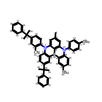 Cc1cc2c3c(c1)N(c1ccc(C(C)(C)c4ccccc4)cc1C#N)c1ccc(C(C)(C)c4ccccc4)cc1B3c1cc(C(C)(C)C)ccc1N2c1ccc(C(C)(C)C)cc1